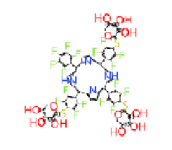 O[C@@H]1[C@@H](O)[C@H](Sc2c(F)c(F)c(-c3c4nc(c(-c5c(F)c(F)c(S[C@@H]6OC[C@@H](O)[C@H](O)[C@H]6O)c(F)c5F)c5ccc([nH]5)c(-c5c(F)c(F)c(S[C@@H]6OC[C@@H](O)[C@H](O)[C@H]6O)c(F)c5F)c5nc(c(-c6c(F)c(F)c(F)c(F)c6F)c6ccc3[nH]6)C=C5)C=C4)c(F)c2F)OC[C@H]1O